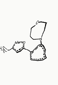 Cc1cc(-c2[c]cccc2N2CCOCC2)on1